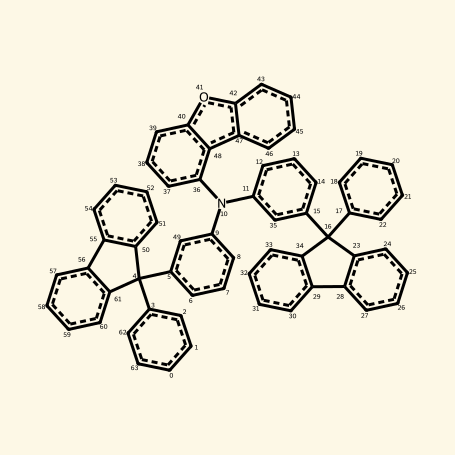 c1ccc(C2(c3cccc(N(c4cccc(C5(c6ccccc6)c6ccccc6-c6ccccc65)c4)c4cccc5oc6ccccc6c45)c3)c3ccccc3-c3ccccc32)cc1